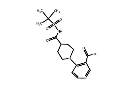 CC(C)(C)S(=O)(=O)NC(=O)C1CCN(c2ccncc2C(=O)O)CC1